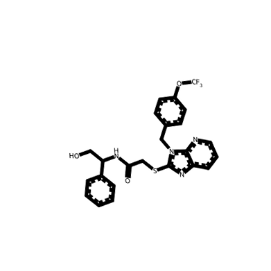 O=C(CSc1nc2cccnc2n1Cc1ccc(OC(F)(F)F)cc1)NC(CO)c1ccccc1